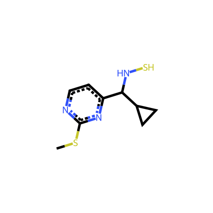 CSc1nccc(C(NS)C2CC2)n1